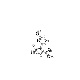 COc1cccc(-c2c(C(=O)O)c[nH]c2C)n1